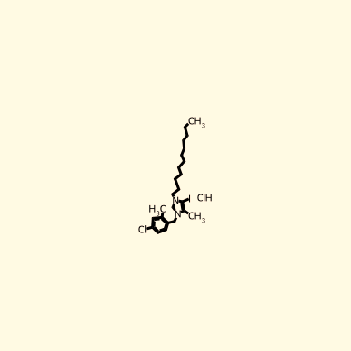 CCCCCCCCCCCCN1CN(Cc2ccc(Cl)cc2C)C(C)=C1I.Cl